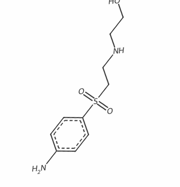 Nc1ccc(S(=O)(=O)CCNCCO)cc1